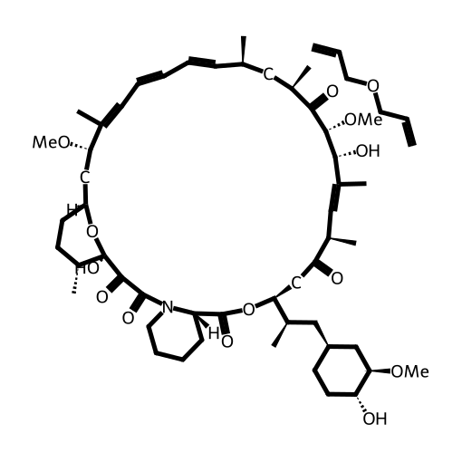 C=CCOCC=C.CO[C@H]1C[C@@H]2CC[C@@H](C)[C@@](O)(O2)C(=O)C(=O)N2CCCC[C@H]2C(=O)O[C@H]([C@H](C)C[C@@H]2CC[C@@H](O)[C@H](OC)C2)CC(=O)[C@H](C)/C=C(\C)[C@@H](O)[C@@H](OC)C(=O)[C@H](C)C[C@H](C)/C=C/C=C/C=C/1C